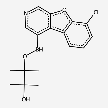 CC(C)(O)C(C)(C)OBc1cncc2oc3c(Cl)cccc3c12